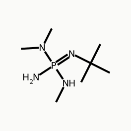 CNP(N)(=NC(C)(C)C)N(C)C